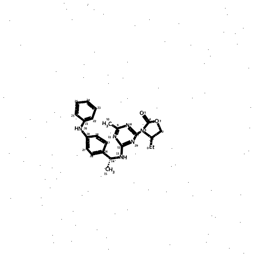 CCC1COC(=O)N1c1nc(C)nc(N[C@H](C)c2ccc(Nc3ccccc3)cc2)n1